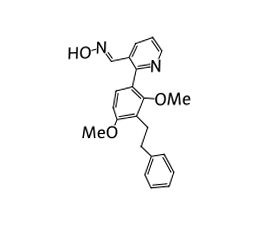 COc1ccc(-c2ncccc2C=NO)c(OC)c1CCc1ccccc1